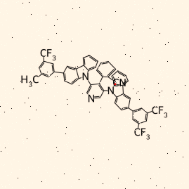 Cc1cc(-c2ccc3c(c2)c2ccccc2n3-c2cncc(-n3c4ccccc4c4cc(-c5cc(C(F)(F)F)cc(C(F)(F)F)c5)ccc43)c2-c2ccccc2C#N)cc(C(F)(F)F)c1